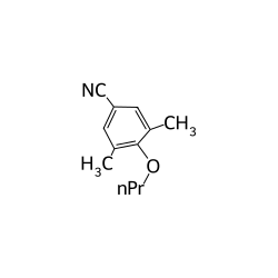 [CH2]CCOc1c(C)cc(C#N)cc1C